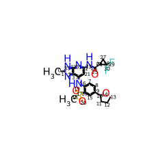 Cc1nc2c(Nc3ccc(C4CCCO4)cc3S(C)(=O)=O)cc(NC(=O)[C@H]3CC3(F)F)nc2[nH]1